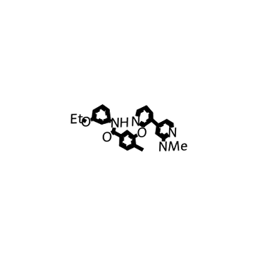 CCOc1cccc(NC(=O)c2ccc(C)c(Oc3ncccc3-c3ccnc(NC)c3)c2)c1